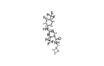 O=C(NCC1CCC1)c1cnc(Nc2ccc(C(F)(F)F)c(F)c2)nc1C(F)(F)F